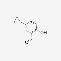 O=Cc1cc(C2CC2)ccc1O